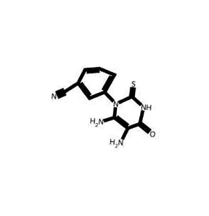 N#Cc1cccc(-n2c(N)c(N)c(=O)[nH]c2=S)c1